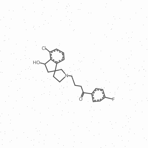 O=C(CCCN1CCC2(CC(O)c3c(Cl)cccc32)C1)c1ccc(F)cc1